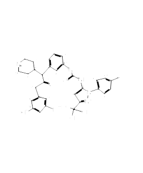 Cc1ccc(-n2nc(C(C)(C)C)cc2NC(=O)Nc2cccc(C(C(=O)Cc3cc(F)cc(F)c3)C3CCNCC3)c2)cc1